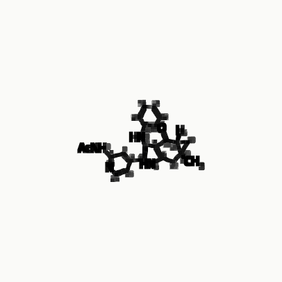 CC(=O)Nc1cc(-c2[nH]c3c(c2Nc2ccccc2)C(=O)[C@@H]2C[C@]2(C)C3)ccn1